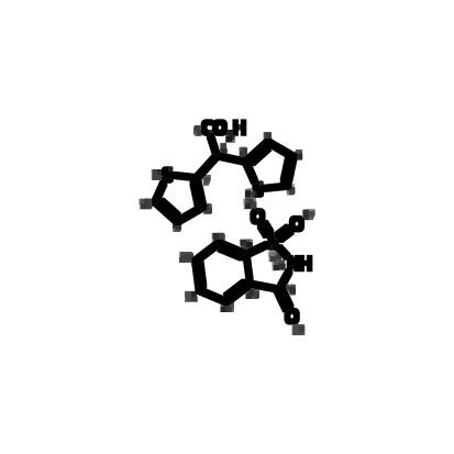 O=C(O)C(c1cccs1)c1cccs1.O=C1NS(=O)(=O)c2ccccc21